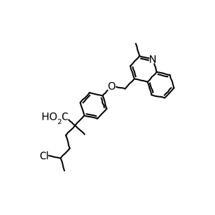 Cc1cc(COc2ccc(C(C)(CCC(C)Cl)C(=O)O)cc2)c2ccccc2n1